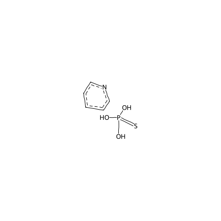 OP(O)(O)=S.c1ccncc1